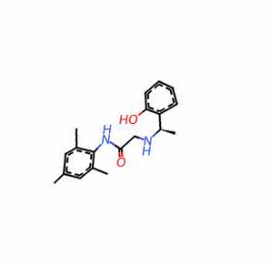 Cc1cc(C)c(NC(=O)CN[C@H](C)c2ccccc2O)c(C)c1